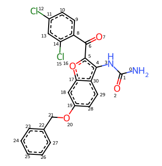 NC(=O)Nc1c(C(=O)c2ccc(Cl)cc2Cl)oc2cc(OCc3ccccc3)ccc12